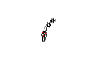 Fc1cnc(N2C3CCC2CC(n2ncc(COc4ccc(-n5cnnn5)nc4)n2)C3)nc1